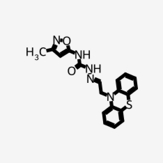 Cc1cc(NC(=O)NN=CCN2c3ccccc3Sc3ccccc32)on1